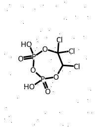 O=P1(O)OC(Cl)C(Cl)(Cl)OP(=O)(O)O1